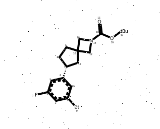 CCc1cc(F)cc([C@@H]2CCC3(C2)CN(C(=O)OC(C)(C)C)C3)c1